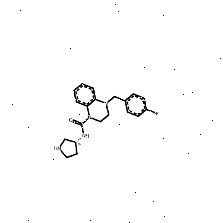 O=C(N[C@@H]1CCNC1)N1CCN(Cc2ccc(F)cc2)c2ccccc21